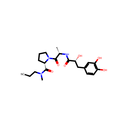 C[C@H](NC(=O)[C@H](O)Cc1ccc(O)c(O)c1)C(=O)N1CCC[C@H]1C(=O)N(C)CCC#N